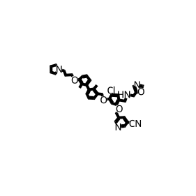 Cc1c(COc2cc(OCc3cncc(C#N)c3)c(CNCc3cnco3)cc2Cl)cccc1-c1cccc(OCCCN2CCCC2)c1C